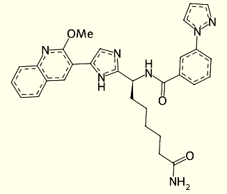 COc1nc2ccccc2cc1-c1cnc([C@H](CCCCCC(N)=O)NC(=O)c2cccc(-n3cccn3)c2)[nH]1